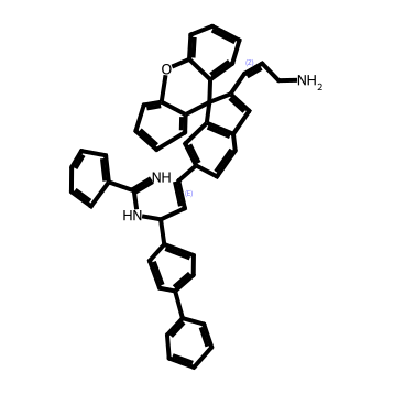 N=C(NC(/C=C/c1ccc2c(c1)C1(C(/C=C\CN)=C2)c2ccccc2Oc2ccccc21)c1ccc(-c2ccccc2)cc1)c1ccccc1